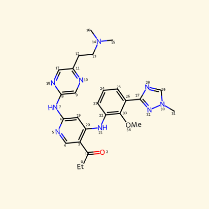 CCC(=O)c1cnc(Nc2cnc(CCN(C)C)cn2)cc1Nc1cccc(-c2ncn(C)n2)c1OC